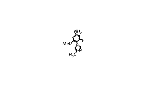 COc1cc(N)cc(F)c1-n1cnc(C)c1